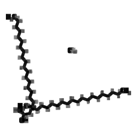 CCCCCCCCCCCCCCCCCC[N+](C)(CCCCCCCCCCCCCCCCCC)CC(O)O.[Cl-]